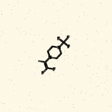 CC(=C(F)F)N1CCN(C(F)(F)F)CC1